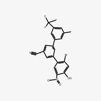 Cc1cc(-c2cc(C#N)cc(-c3cc([N+](=O)[O-])c(O)cc3Br)c2)cc(C(F)(F)F)c1